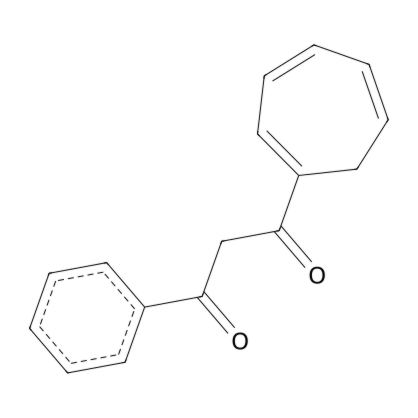 O=C(CC(=O)c1ccccc1)C1=CC=CC=CC1